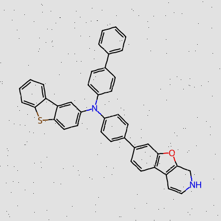 C1=Cc2c(oc3cc(-c4ccc(N(c5ccc(-c6ccccc6)cc5)c5ccc6sc7ccccc7c6c5)cc4)ccc23)CN1